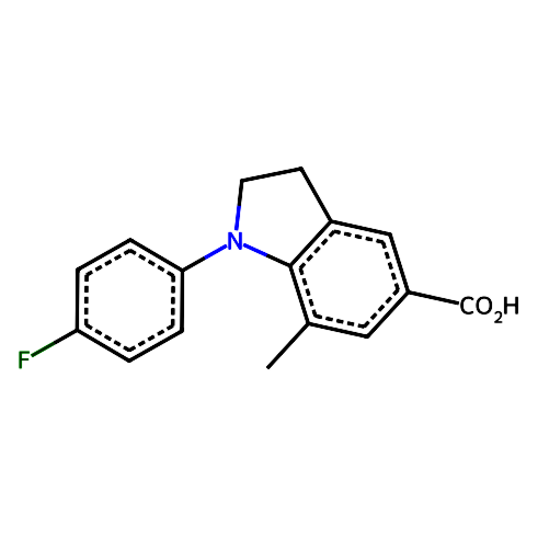 Cc1cc(C(=O)O)cc2c1N(c1ccc(F)cc1)CC2